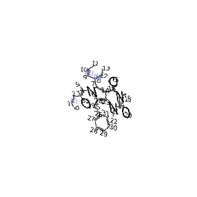 C/C=C\C1=C(C)n2c(C(/C=C\C)=C/C)c3c(=O)n(C)c(=O)n(C)c3c2C(c2ccccc2)O1